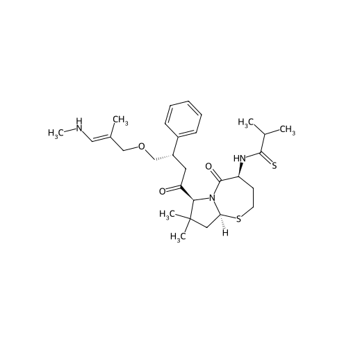 CN/C=C(\C)COC[C@@H](CC(=O)[C@H]1N2C(=O)[C@@H](NC(=S)C(C)C)CCS[C@H]2CC1(C)C)c1ccccc1